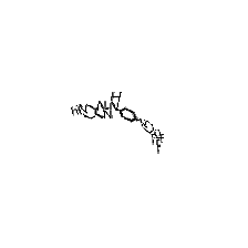 FC(F)(F)OC1CCN(c2ccc(Nc3ncc4c(n3)CNCC4)cc2)CC1